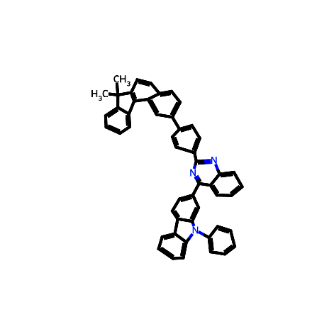 CC1(C)c2ccccc2-c2c1ccc1ccc(-c3ccc(-c4nc(-c5ccc6c7ccccc7n(-c7ccccc7)c6c5)c5ccccc5n4)cc3)cc21